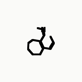 C/C=C\C1=C(/C=N\C)CCCCC1